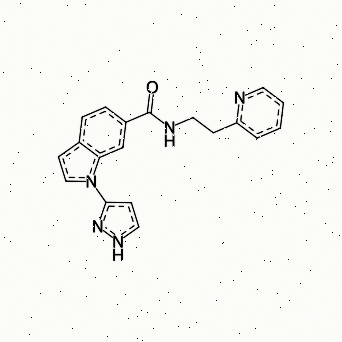 O=C(NCCc1ccccn1)c1ccc2ccn(-c3cc[nH]n3)c2c1